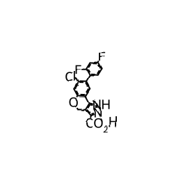 O=C(O)c1n[nH]c2c1COc1cc(Cl)c(-c3ccc(F)cc3F)cc1-2